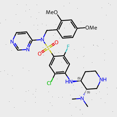 COc1ccc(CN(c2ccncn2)S(=O)(=O)c2cc(Cl)c(N[C@H]3CCNC[C@@H]3N(C)C)cc2F)c(OC)c1